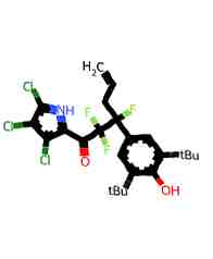 C=CCC(F)(c1cc(C(C)(C)C)c(O)c(C(C)(C)C)c1)C(F)(F)C(=O)c1[nH]c(Cl)c(Cl)c1Cl